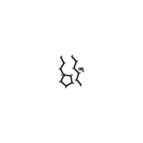 CCCCCC.CCCN1CCCC1.Cl